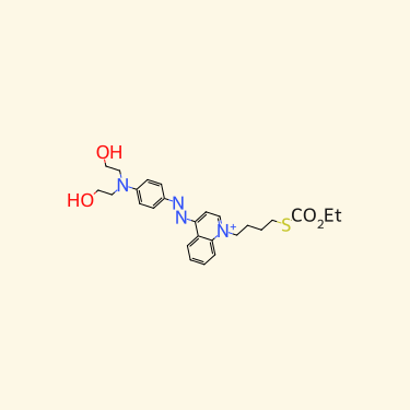 CCOC(=O)SCCCC[n+]1ccc(/N=N/c2ccc(N(CCO)CCO)cc2)c2ccccc21